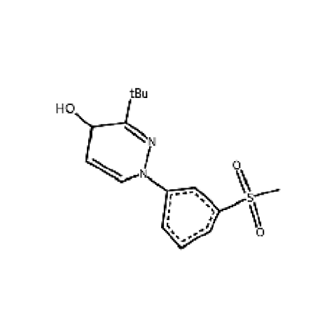 CC(C)(C)C1=NN(c2cccc(S(C)(=O)=O)c2)C=CC1O